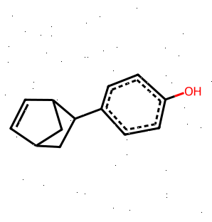 Oc1ccc(C2CC3C=CC2C3)cc1